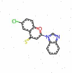 S=c1cc(-n2cnc3ccccc32)oc2ccc(Cl)cc12